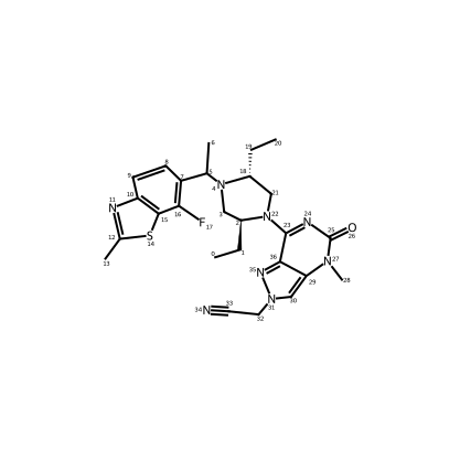 CC[C@H]1CN(C(C)c2ccc3nc(C)sc3c2F)[C@H](CC)CN1c1nc(=O)n(C)c2cn(CC#N)nc12